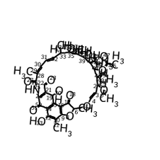 CO[C@H]1/C=C/O[C@@]2(C)Oc3c(C)c(O)c4c(c3C2=O)C(O)C(C=O)=C(NC(=O)/C(C)=C\C=C\[C@@H](C)[C@@H](O)[C@@H](C)[C@H](O)[C@@H](C)[C@H](OC(C)=O)[C@@H]1C)C4=O